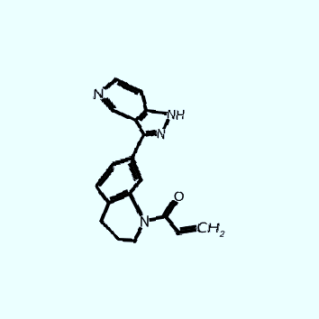 C=CC(=O)N1CCCc2ccc(-c3n[nH]c4ccncc34)cc21